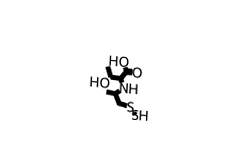 CC(CSS)NC(C(=O)O)C(C)O